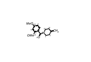 C=C1CCN(C(=O)c2ccc(OC)cc2OC)CC1